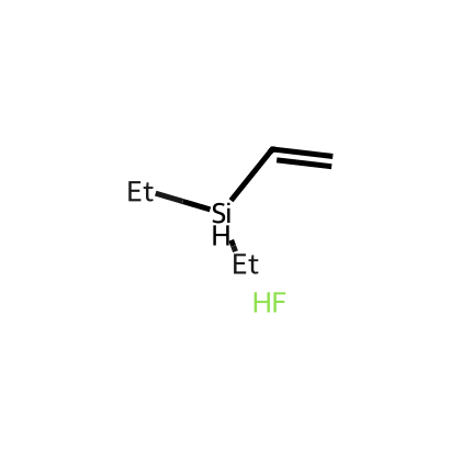 C=C[SiH](CC)CC.F